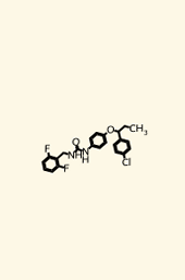 CCC(Oc1ccc(NC(=O)NCc2c(F)cccc2F)cc1)c1ccc(Cl)cc1